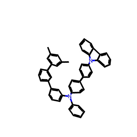 Cc1cc(C)cc(-c2cccc(-c3cccc(N(c4ccccc4)c4ccc(-c5ccc(-n6c7ccccc7c7ccccc76)cc5)cc4)c3)c2)c1